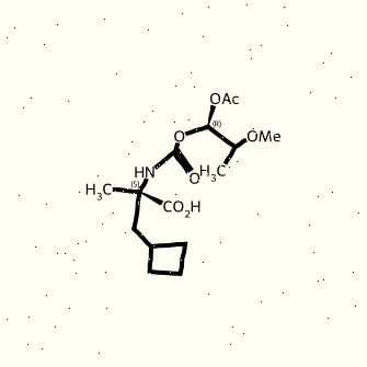 COC(C)[C@H](OC(C)=O)OC(=O)N[C@@](C)(CC1CCC1)C(=O)O